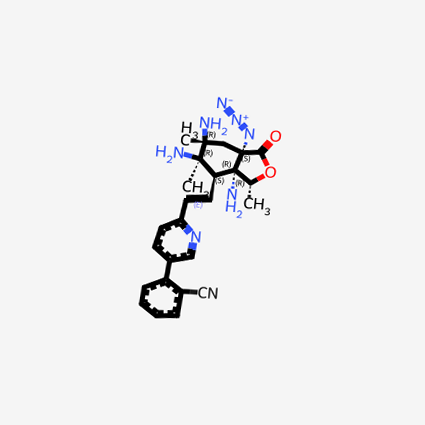 C[C@H]1OC(=O)[C@]2(N=[N+]=[N-])C[C@@](C)(N)[C@](C)(N)[C@H](/C=C/c3ccc(-c4ccccc4C#N)cn3)[C@]12N